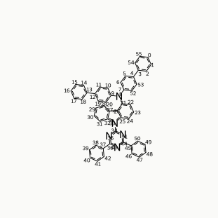 c1ccc(-c2ccc(N(c3ccc(-c4ccccc4)cc3)c3cccc4c3c3ccccc3n4-c3nc(-c4ccccc4)nc(-c4ccccc4)n3)cc2)cc1